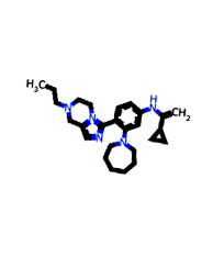 C=C(Nc1ccc(-c2ncc3n2CCN(CCC)C3)c(N2CCCCCC2)c1)C1CC1